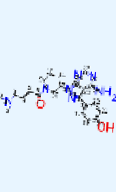 CN(C)CC=CC(=O)N1CCCC(n2nc(-c3ccc(O)cc3)c3c(N)ncnc32)C1